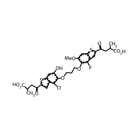 COc1cc2sc(C(=O)CC(C)C(=O)O)cc2c(F)c1OCCCOc1c(O)cc2sc(C(=O)CC(C)C(=O)O)cc2c1Cl